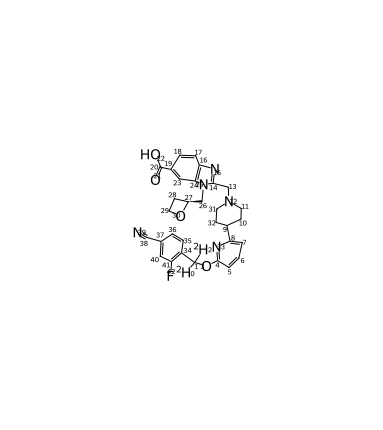 [2H]C([2H])(Oc1cccc(C2CCN(Cc3nc4ccc(C(=O)O)cc4n3C[C@@H]3CCO3)CC2)n1)c1ccc(C#N)cc1F